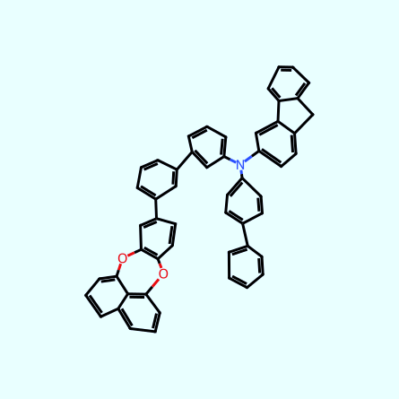 c1ccc(-c2ccc(N(c3cccc(-c4cccc(-c5ccc6c(c5)Oc5cccc7cccc(c57)O6)c4)c3)c3ccc4c(c3)-c3ccccc3C4)cc2)cc1